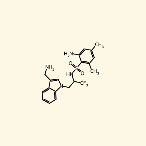 Cc1cc(C)c(S(=O)(=O)NC(Cn2cc(CN)c3ccccc32)C(F)(F)F)c(N)c1